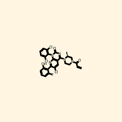 C=CC(=O)N1CCN(c2nc(=O)n(-c3c(Cl)cccc3Cl)c3nc(-c4c(O)cccc4F)c(Cl)cc23)[C@@H](C)C1